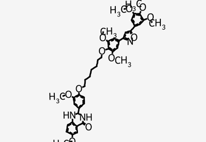 COc1ccc2c(c1)C(=O)NC(c1ccc(OCCCCCCCOc3c(OC)cc(-c4cc(-c5cc(OC)c(OC)c(OC)c5)on4)cc3OC)c(OC)c1)N2